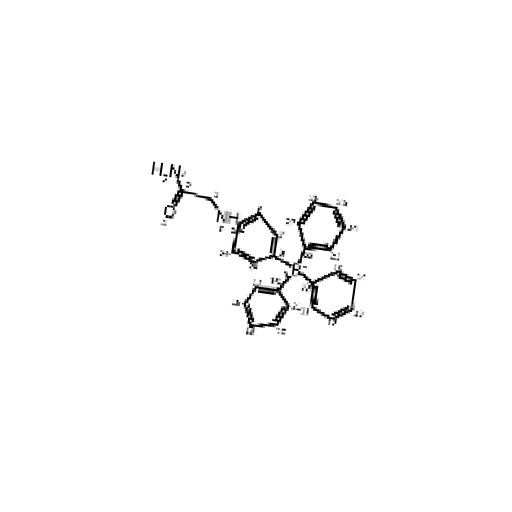 NCC(N)=O.c1ccc([B-](c2ccccc2)(c2ccccc2)c2ccccc2)cc1